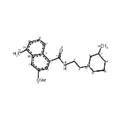 COc1cc(C(=O)NCCN2CCCC(C)C2)c2cccc(C)c2c1